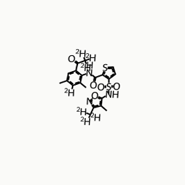 [2H]c1c(C)cc(C(=O)C([2H])([2H])[2H])c(NC(=O)c2sccc2S(=O)(=O)Nc2onc(C([2H])([2H])[2H])c2C)c1C